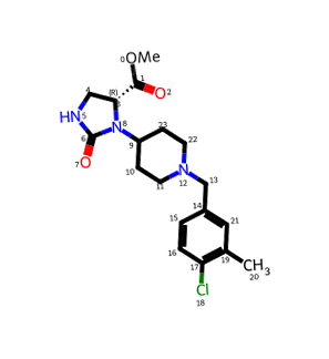 COC(=O)[C@H]1CNC(=O)N1C1CCN(Cc2ccc(Cl)c(C)c2)CC1